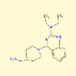 CCN(CC)c1nc(N2CCC(CN)CC2)c2ccccc2n1